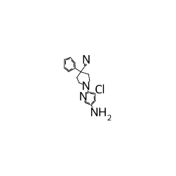 N#CC1(c2ccccc2)CCN(c2ncc(N)cc2Cl)CC1